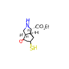 CCOC(=O)[C@H]1NC[C@@H]2C(=O)C(S)C[C@@H]21